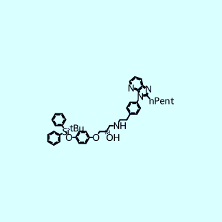 CCCCCc1nc2cccnc2n1-c1ccc(CCNC[C@H](O)COc2ccc(O[Si](c3ccccc3)(c3ccccc3)C(C)(C)C)cc2)cc1